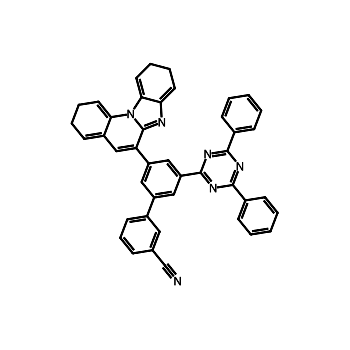 N#Cc1cccc(-c2cc(-c3nc(-c4ccccc4)nc(-c4ccccc4)n3)cc(-c3cc4c(n5c6c(nc35)=CCCC=6)=CCCC=4)c2)c1